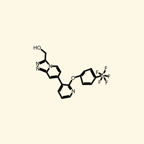 OCc1nnc2cc(-c3cccnc3Oc3ccc(S(F)(F)(F)(F)F)cc3)ccn12